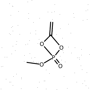 C=C1OP(=O)(OC)O1